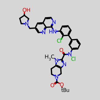 Cn1c(C(=O)N(Cl)c2cccc(-c3cccc(Nc4nccc5cc(CN6CCC(O)C6)cnc45)c3Cl)c2)nc2c1CCN(C(=O)OC(C)(C)C)C2